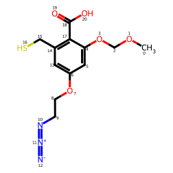 COCOc1cc(OCCN=[N+]=[N-])cc(CS)c1C(=O)O